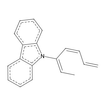 C=C/C=C\C(=C/C)n1c2ccccc2c2ccccc21